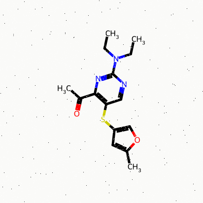 CCN(CC)c1ncc(Sc2coc(C)c2)c(C(C)=O)n1